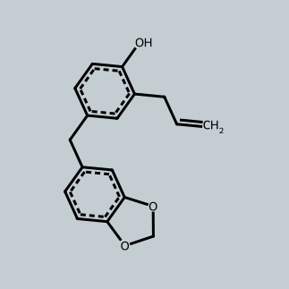 C=CCc1cc(Cc2ccc3c(c2)OCO3)ccc1O